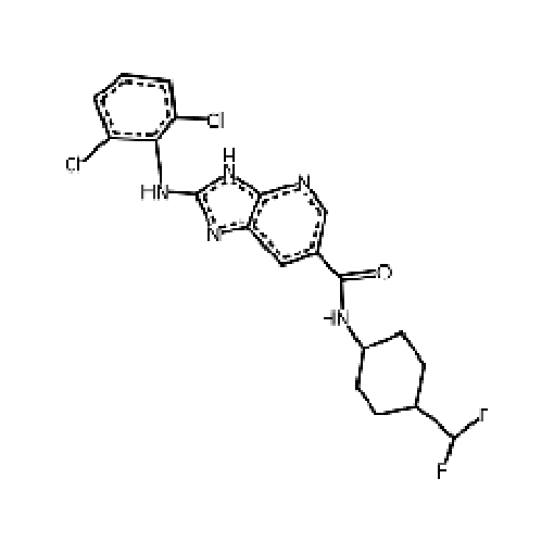 O=C(NC1CCC(C(F)F)CC1)c1cnc2[nH]c(Nc3c(Cl)cccc3Cl)nc2c1